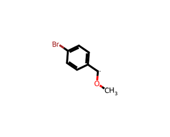 CO[CH]c1ccc(Br)cc1